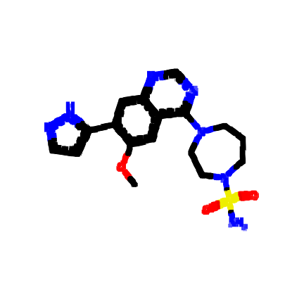 COc1cc2c(N3CCCN(S(N)(=O)=O)CC3)ncnc2cc1-c1ccn[nH]1